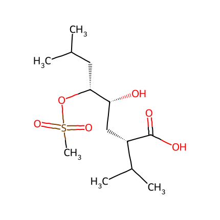 CC(C)C[C@@H](OS(C)(=O)=O)[C@H](O)C[C@H](C(=O)O)C(C)C